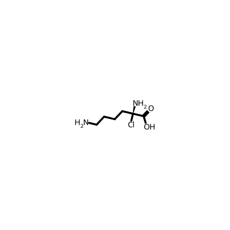 NCCCC[C@@](N)(Cl)C(=O)O